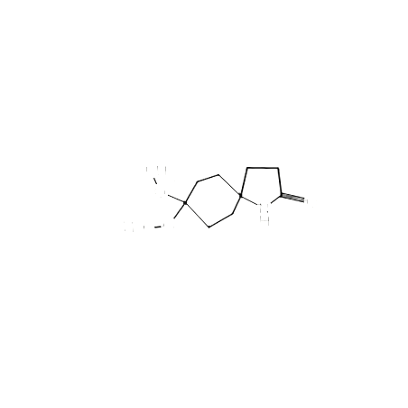 COC1(OC)CCC2(CCC(=O)N2)CC1